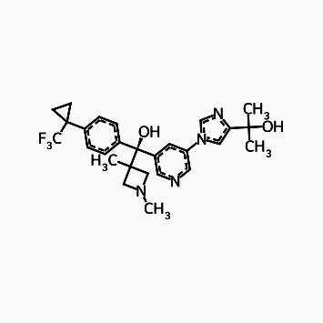 CN1CC(C)([C@](O)(c2ccc(C3(C(F)(F)F)CC3)cc2)c2cncc(-n3cnc(C(C)(C)O)c3)c2)C1